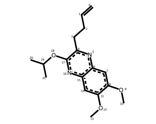 C=CCCc1nc2cc(OC)c(OC)cc2nc1OC(C)C